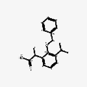 CC(C)c1cccc(C(C)C(=O)O)c1OCc1ccccc1